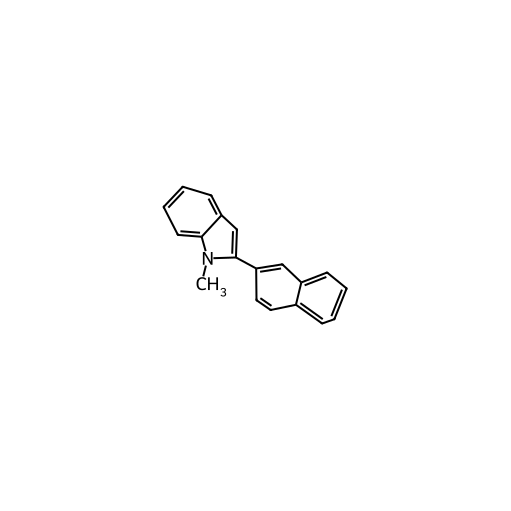 Cn1c(-c2ccc3ccccc3c2)cc2ccccc21